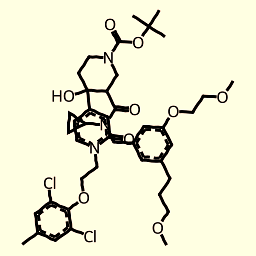 COCCCc1cc(CN(C(=O)C2CN(C(=O)OC(C)(C)C)CCC2(O)c2ccn(CCOc3c(Cl)cc(C)cc3Cl)c(=O)c2)C2CC2)cc(OCCOC)c1